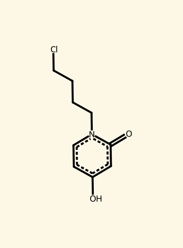 O=c1cc(O)ccn1CCCCCl